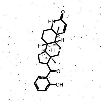 C[C@]12C=CC(=O)NC1CC[C@@H]1[C@H]2CC[C@]2(C)C(C(=O)c3ccccc3O)CC[C@@H]12